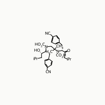 CC(C)CC(=O)[C@@H](Cc1ccc(C#N)cc1)N(C(=O)O)C(C)(C)CN(C(=O)O)[C@H](Cc1ccc(C#N)cc1)[C@@H](O)CC(C)C